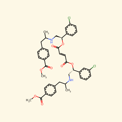 COC(=O)c1ccc(CC(C)NC[C@H](OC(=O)/C=C/C(=O)O[C@@H](CNC(C)Cc2ccc(C(=O)OC)cc2)c2cccc(Cl)c2)c2cccc(Cl)c2)cc1